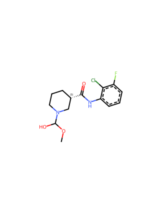 COC(O)N1CCC[C@H](C(=O)Nc2cccc(F)c2Cl)C1